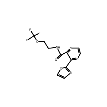 O=C(NCCOC(F)(F)F)c1nccnc1-c1ncco1